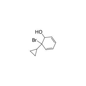 OC1C=CC=CC1(Br)C1CC1